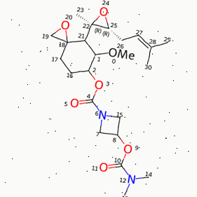 COC1C(OC(=O)N2CC(OC(=O)N(C)C)C2)CCC2(CO2)C1[C@@]1(C)O[C@@H]1CC=C(C)C